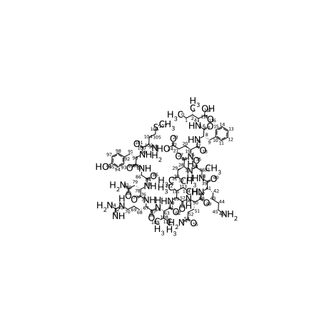 CC[C@H](C)[C@H](NC(=O)[C@H](Cc1ccccc1)NC(=O)[C@H](CCC(=O)O)NC(=O)[C@H](CC(C)C)NC(=O)[C@H](C)NC(=O)[C@H](CCCCN)NC(=O)[C@H](CCC(N)=O)NC(=O)[C@@H](NC(=O)[C@@H](NC(=O)[C@H](CCCNC(=N)N)NC(=O)[C@H](CC(N)=O)NC(=O)CNC(=O)[C@H](Cc1ccc(O)cc1)NC(=O)[C@@H](N)CCSC)C(C)C)[C@@H](C)CC)C(=O)O